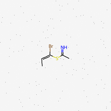 C/C=C(/Br)SC(C)=N